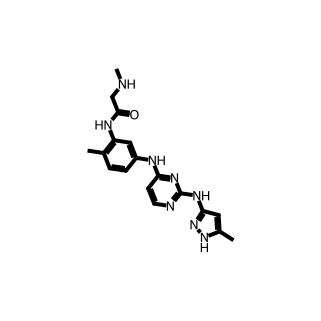 CNCC(=O)Nc1cc(Nc2ccnc(Nc3cc(C)[nH]n3)n2)ccc1C